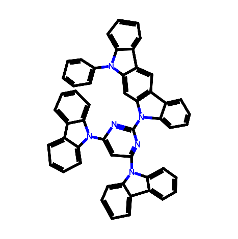 c1ccc(-n2c3ccccc3c3cc4c5ccccc5n(-c5nc(-n6c7ccccc7c7ccccc76)cc(-n6c7ccccc7c7ccccc76)n5)c4cc32)cc1